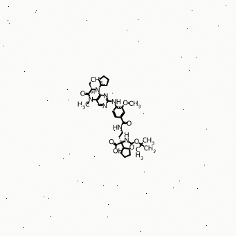 CC[C@@H]1C(=O)N(C)c2cnc(Nc3ccc(C(=O)NCC[C@@](NC(=O)OC(C)(C)C)(C(=O)O)C4CCCC4)cc3OC)nc2N1C1CCCC1